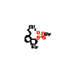 C=CCc1cccc2ccccc12.O=S(=O)([O-])[O-].[Na+].[Na+]